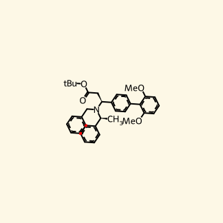 COc1cccc(OC)c1-c1ccc([C@H](CC(=O)OC(C)(C)C)N(Cc2ccccc2)[C@@H](C)c2ccccc2)cc1